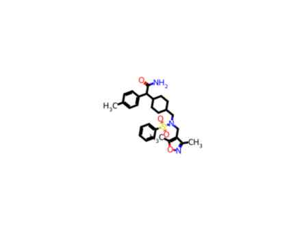 Cc1ccc(C(C(N)=O)C2CCC(CN(Cc3c(C)noc3C)S(=O)(=O)c3ccccc3)CC2)cc1